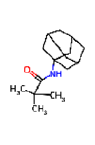 CC(C)(C)C(=O)NC12CC3CC(CC(C3)C1)C2